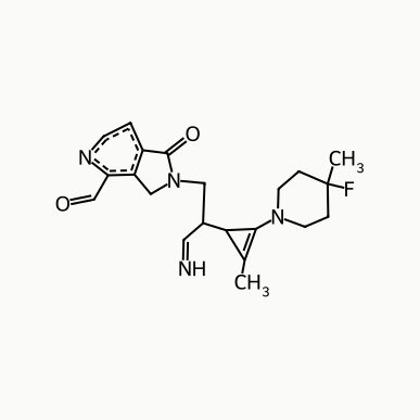 CC1=C(N2CCC(C)(F)CC2)C1C(C=N)CN1Cc2c(ccnc2C=O)C1=O